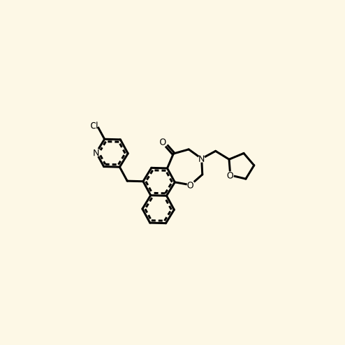 O=C1CN(CC2CCCO2)COc2c1cc(Cc1ccc(Cl)nc1)c1ccccc21